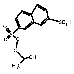 CC(O)OOS(=O)(=O)c1ccc2ccc(S(=O)(=O)O)cc2c1